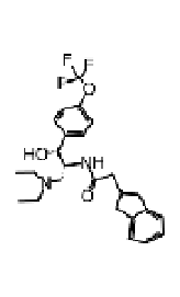 CCN(CC)C[C@@H](NC(=O)CC1Cc2ccccc2C1)[C@H](O)c1ccc(OC(F)(F)F)cc1